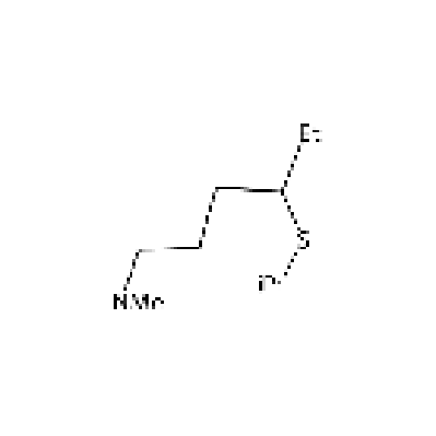 CCC(CCCNC)SC(C)C